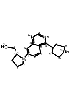 OC[C@H]1CCCN1c1ccc2c(C3CCNCC3)ncnc2c1